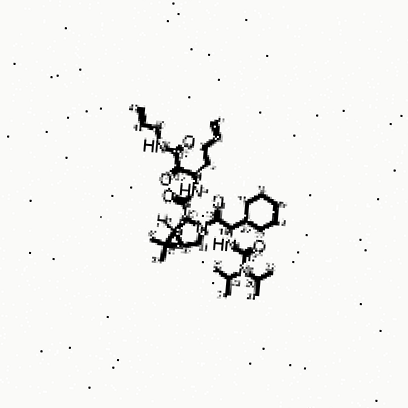 C=CCC[C@@H](NC(=O)[C@@H]1[C@@H]2C(CN1C(=O)[C@@H](NC(=O)N(C(C)C)C(C)C)C1CCCCC1)C2(C)C)C(=O)C(=O)NCC=C